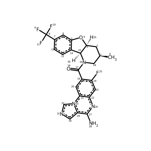 C[C@@H]1C[C@@H]2Oc3cc(C(F)(F)F)ccc3[C@@H]2N(C(=O)c2cc3c(cc2F)nc(N)c2cncn23)C1